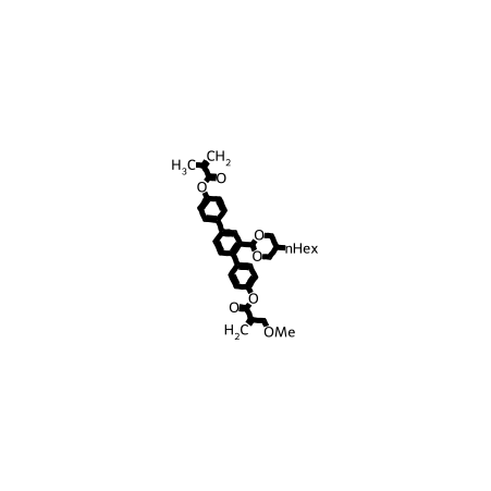 C=C(C)C(=O)Oc1ccc(-c2ccc(-c3ccc(OC(=O)C(=C)COC)cc3)c(C3OCC(CCCCCC)CO3)c2)cc1